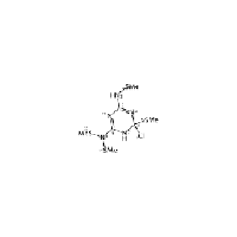 CSNC1=NC(Cl)(SC)NC(N(SC)SC)=N1